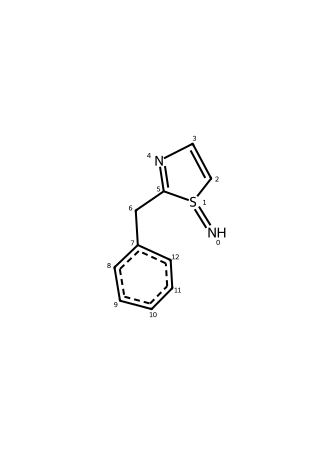 N=S1C=CN=C1Cc1ccccc1